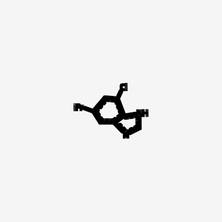 CC(C)c1cc(Cl)c2[nH]cnc2c1